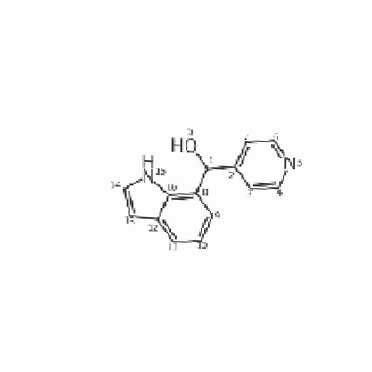 OC(c1ccncc1)c1cccc2cc[nH]c12